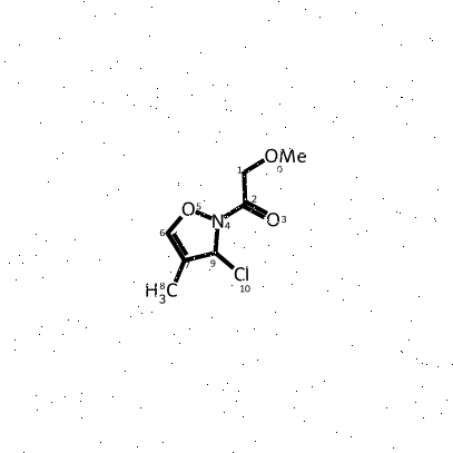 COCC(=O)N1OC=C(C)C1Cl